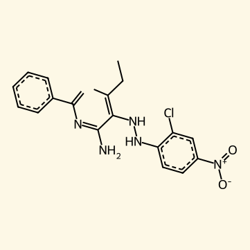 C=C(/N=C(N)\C(NNc1ccc([N+](=O)[O-])cc1Cl)=C(/C)CC)c1ccccc1